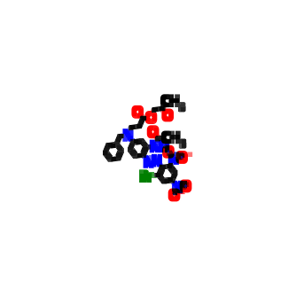 CC(=O)COC(=O)CCN(Cc1ccccc1)c1ccc(/N=N/c2c(Br)cc([N+](=O)[O-])cc2[N+](=O)[O-])c(NC(C)=O)c1